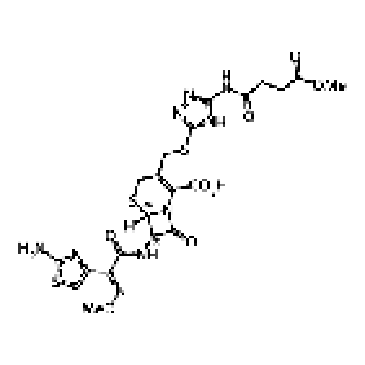 CON=C(C(=O)N[C@@H]1C(=O)N2C(C(=O)O)=C(CSc3nnc(NC(=O)CCC(=O)OC)[nH]3)CS[C@@H]12)c1csc(N)n1